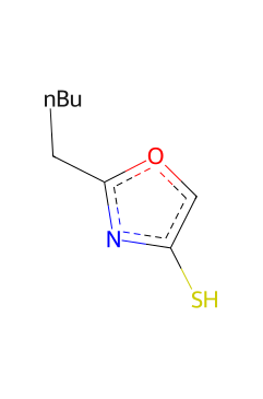 CCCCCc1nc(S)co1